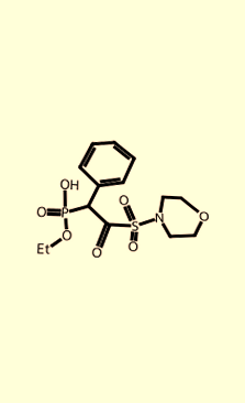 CCOP(=O)(O)C(C(=O)S(=O)(=O)N1CCOCC1)c1ccccc1